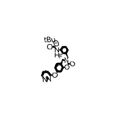 CC(C)(C)OC(=O)Nc1cccc(CN2Cc3ccc(Oc4cccnn4)cc3OC2=O)c1F